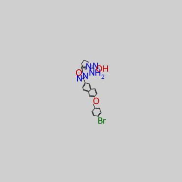 N/C(=N\O)N1CCC[C@@H]1c1nc(-c2ccc3cc(OCc4ccc(Br)cc4)ccc3c2)no1